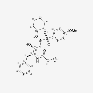 COc1ccc(S(=O)(=O)N(C[C@H](O)[C@H](Cc2ccccc2)NC(=O)OC(C)(C)C)OC2CCCCC2)cc1